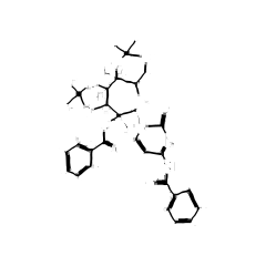 CC1(C)OCC2O[C@@H](n3ccc(NC(=O)c4ccccc4)nc3=O)[C@](C)(OC(=O)c3ccccc3)C3OC(C)(C)O[C@H]3[C@@H]2O1